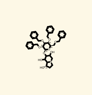 OC1CN2CC[C@H](O)C2C(O)C1O[C@@H]1O[C@H](COCc2ccccc2)[C@@H](OCc2ccccc2)[C@H](OCc2ccccc2)[C@H]1OCc1ccccc1